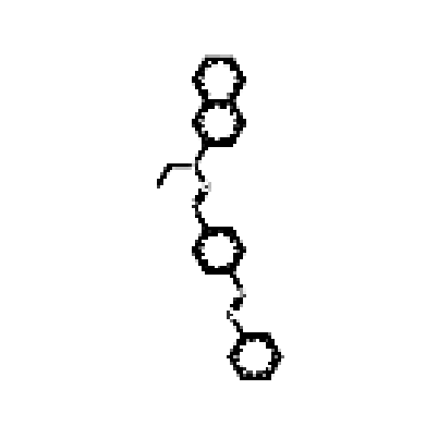 CCN(N=Nc1ccc(N=Nc2ccccc2)cc1)c1ccc2ccccc2c1